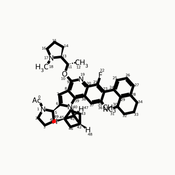 CC(=O)N1CCC[C@@H]1c1cc2c(O[C@@H](C)[C@@H]3CCCN3C)nc3c(F)c(-c4cccc5c4C(C#N)CCC5)c(C)cc3c2n1[C@@H]1[C@@H]2CC[C@H]1C2